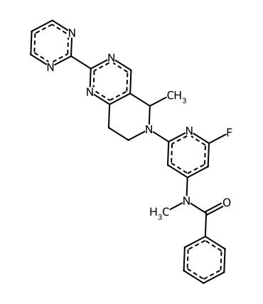 CC1c2cnc(-c3ncccn3)nc2CCN1c1cc(N(C)C(=O)c2ccccc2)cc(F)n1